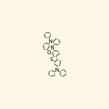 c1ccc(N(c2ccccc2)c2ccc3c(c2)sc2c4c(ccc23)B2c3ccccc3N(c3ccccc3)c3cccc(c32)O4)cc1